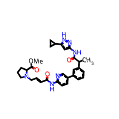 COC(=O)C1CCCN1C/C=C/C(=O)Nc1ccc(-c2cccc(C(C)C(=O)Nc3cc(C4CC4)[nH]n3)c2)cn1